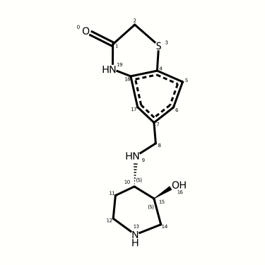 O=C1CSc2ccc(CN[C@H]3CCNC[C@@H]3O)cc2N1